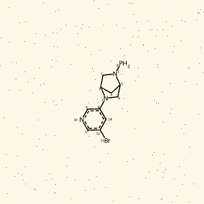 PN1CC2CC1CN2c1cncc(Br)c1